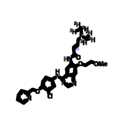 [2H]C([2H])([2H])N(C/C=C/C(=O)Nc1cc2c(Nc3ccc(OCc4ccccn4)c(Cl)c3)ncnc2cc1OCCOC)C([2H])([2H])[2H]